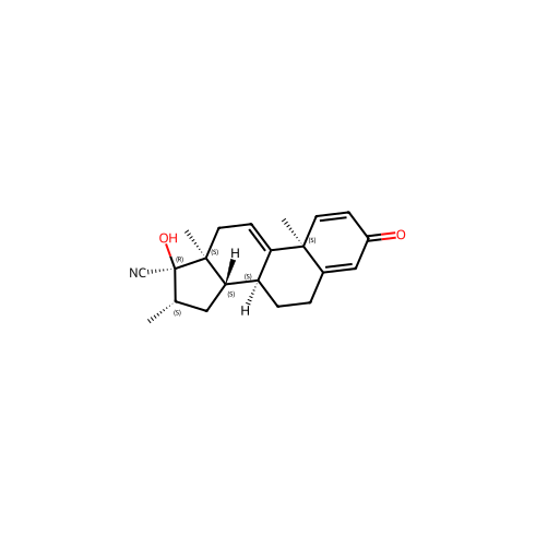 C[C@H]1C[C@H]2[C@@H]3CCC4=CC(=O)C=C[C@]4(C)C3=CC[C@]2(C)[C@@]1(O)C#N